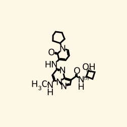 CNc1cc(Nc2cccn(C3CCCCC3)c2=O)nc2c(C(=O)N[C@H]3CC[C@@H]3O)cnn12